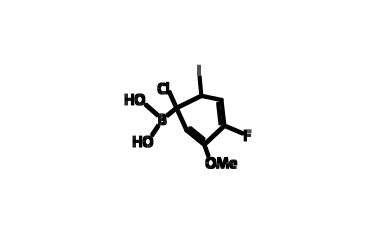 COC1=CC(Cl)(B(O)O)C(I)C=C1F